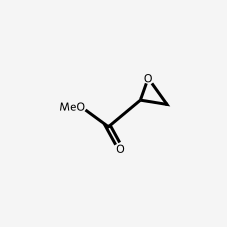 COC(=O)[C]1CO1